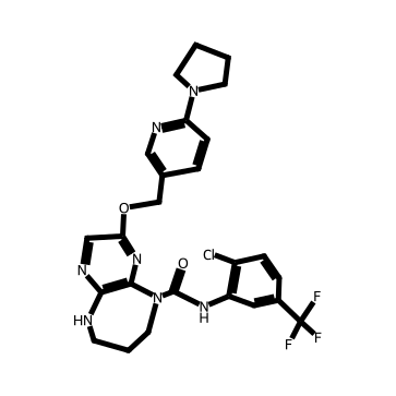 O=C(Nc1cc(C(F)(F)F)ccc1Cl)N1CCCNc2ncc(OCc3ccc(N4CCCC4)nc3)nc21